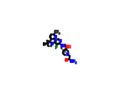 NC(=O)CN1CC[C@H](CNc2ncnc(N3CC[C@@H]4C[C@@]43c3ccc(C(F)(F)F)nc3)c2F)[C@@H](O)C1